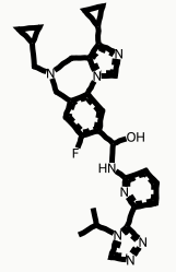 CC(C)n1cnnc1-c1cccc(NC(O)c2cc3c(cc2F)CN(CC2CC2)Cc2c(C4CC4)ncn2-3)n1